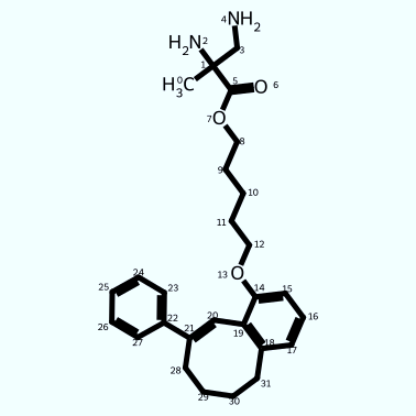 CC(N)(CN)C(=O)OCCCCCOc1cccc2c1/C=C(/c1ccccc1)CCCC2